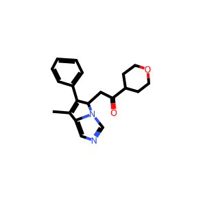 CC1=C(c2ccccc2)C(CC(=O)C2CCOCC2)n2cncc21